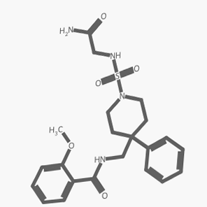 COc1ccccc1C(=O)NCC1(c2ccccc2)CCN(S(=O)(=O)NCC(N)=O)CC1